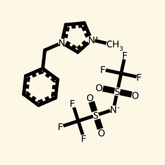 C[n+]1ccn(Cc2ccccc2)c1.O=S(=O)([N-]S(=O)(=O)C(F)(F)F)C(F)(F)F